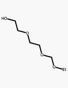 CCOCOCCOCCO